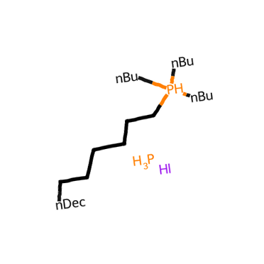 CCCCCCCCCCCCCCCC[PH](CCCC)(CCCC)CCCC.I.P